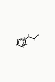 CCCc1cc2ccc1o2